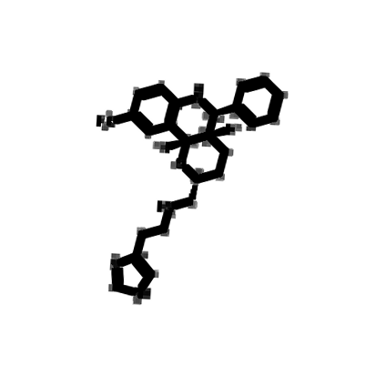 FC(F)(F)c1ccc2c(c1)[C@H]1O[C@@H](CNCCc3c[nH]cn3)CC[C@H]1[C@H](c1ccccc1)N2